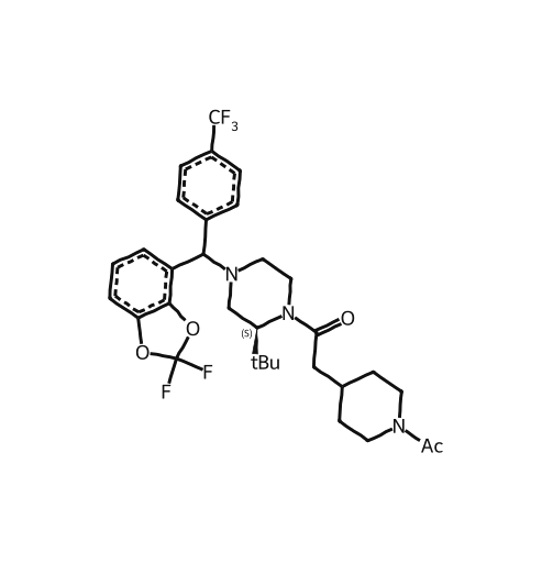 CC(=O)N1CCC(CC(=O)N2CCN(C(c3ccc(C(F)(F)F)cc3)c3cccc4c3OC(F)(F)O4)C[C@@H]2C(C)(C)C)CC1